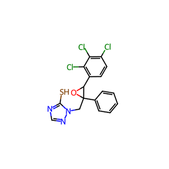 Sc1ncnn1CC1(c2ccccc2)OC1c1ccc(Cl)c(Cl)c1Cl